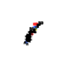 C/C(=C(/C#N)SNCC(O)CN=O)c1ccc(-c2ccc3cc(N(C)C)ccc3c2)o1